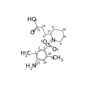 Cc1cc(S(=O)(=O)N2CCCCC2CCC(=O)O)c(C)cc1N